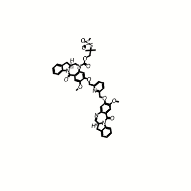 COc1cc2c(cc1OCc1cccc(COc3cc4c(cc3OC)C(=O)N3c5ccccc5C[C@H]3CN4C(=O)OCC(C)(C)SS(C)(=O)=O)n1)N=C[C@@H]1Cc3ccccc3N1C2=O